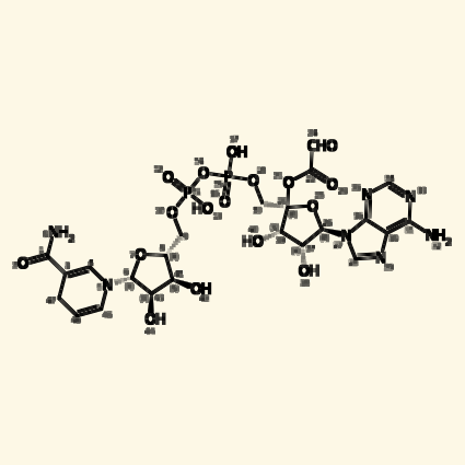 NC(=O)C1=CN([C@@H]2O[C@H](COP(=O)(O)OP(=O)(O)OC[C@]3(OC(=O)C=O)O[C@@H](n4cnc5c(N)ncnc54)[C@H](O)[C@@H]3O)[C@@H](O)[C@H]2O)C=CC1